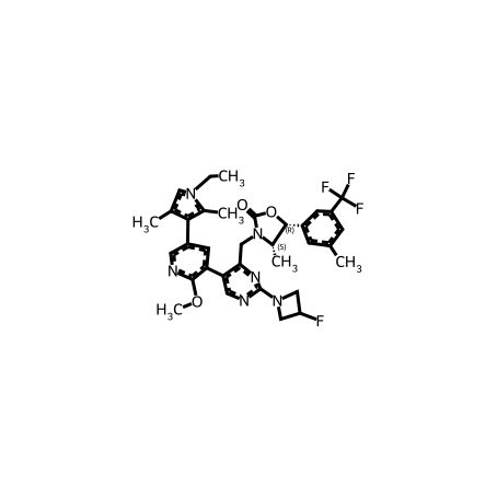 CCn1cc(C)c(-c2cnc(OC)c(-c3cnc(N4CC(F)C4)nc3CN3C(=O)O[C@H](c4cc(C)cc(C(F)(F)F)c4)[C@@H]3C)c2)c1C